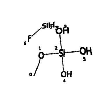 CO[Si](O)(O)O.F[SiH3]